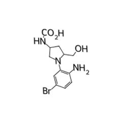 Nc1ccc(Br)cc1N1CC(NC(=O)O)CC1CO